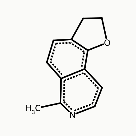 Cc1nccc2c3c(ccc12)CCO3